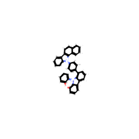 c1ccc2c(c1)Oc1cccc3c4cccc(-c5ccc(-n6c7ccccc7c7ccc8ccccc8c76)cc5)c4n-2c13